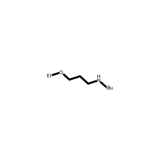 CCOCCCNC(C)CC